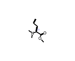 C=C/C=C(/C(=O)OC)N(C)C